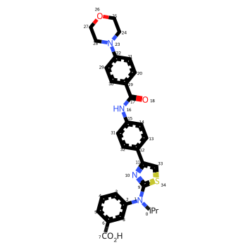 CC(C)N(c1cccc(C(=O)O)c1)c1nc(-c2ccc(NC(=O)c3ccc(N4CCOCC4)cc3)cc2)cs1